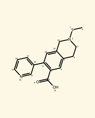 CSN1CCc2cc(C(=O)O)c(-c3cccnc3)cc2C1